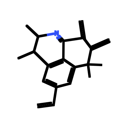 C=Cc1cc2c3c(c1)C(C)(C)C(=C)C(=C)C3=NC(C)C2C